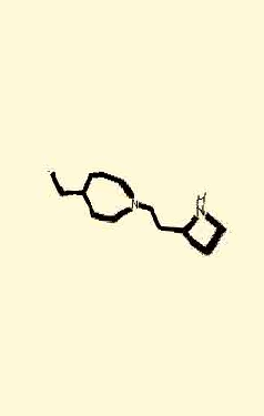 [CH2]CC1CCN(CCC2CCN2)CC1